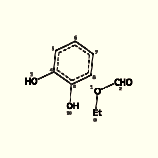 CCOC=O.Oc1ccccc1O